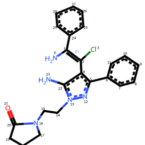 N/C(=C(/Cl)c1c(-c2ccccc2)nn(CCN2CCCC2=O)c1N)c1ccccc1